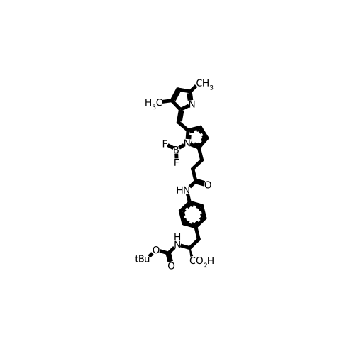 CC1=CC(C)=N/C1=C\c1ccc(CCC(=O)Nc2ccc(C[C@H](NC(=O)OC(C)(C)C)C(=O)O)cc2)n1B(F)F